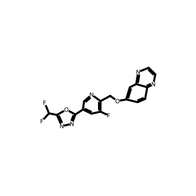 Fc1cc(-c2nnc(C(F)F)o2)cnc1COc1ccc2nccnc2c1